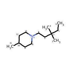 CCC(C)(C)CCN1CCC(C)CC1